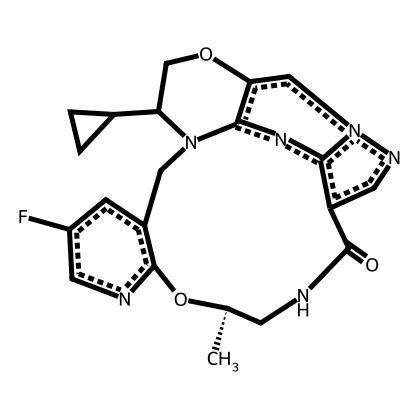 C[C@H]1CNC(=O)c2cnn3cc4c(nc23)N(Cc2cc(F)cnc2O1)C(C1CC1)CO4